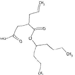 C=CCC(CC(=O)O)C(=O)OC(CCC)CCCC